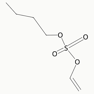 C=COS(=O)(=O)OCCCC